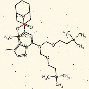 CC(C)(C)OC(=O)N1C2CCCC1CC(c1cc(N(COCC[Si](C)(C)C)COCC[Si](C)(C)C)n3ncc(I)c3n1)C2